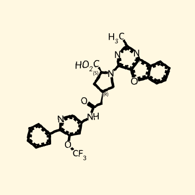 Cc1nc(N2C[C@@H](CC(=O)Nc3cnc(-c4ccccc4)c(OC(F)(F)F)c3)C[C@H]2C(=O)O)c2oc3ccccc3c2n1